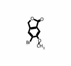 COc1cc2c(cc1Br)COC2=O